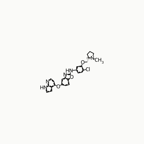 CN1CCC[C@H]1COc1cc(Nc2nc3cc(Oc4ccnc5[nH]ccc45)ccc3o2)ccc1Cl